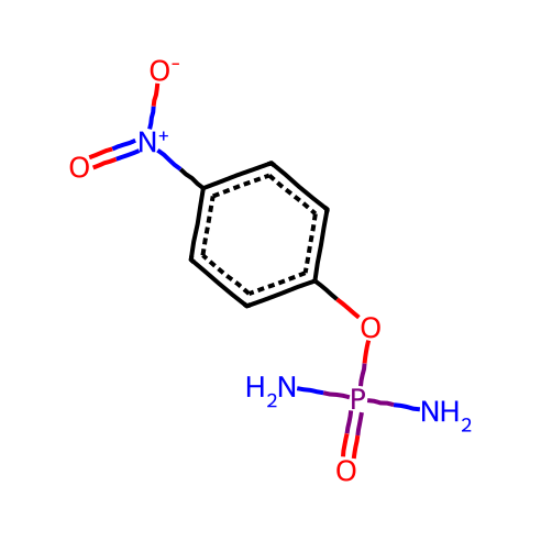 NP(N)(=O)Oc1ccc([N+](=O)[O-])cc1